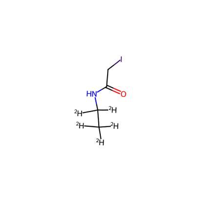 [2H]C([2H])([2H])C([2H])([2H])NC(=O)CI